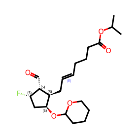 CC(C)OC(=O)CCC/C=C/C[C@@H]1[C@@H](C=O)[C@@H](F)C[C@@H]1OC1CCCCO1